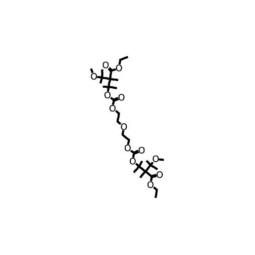 CCOC(=O)C(C)(C(C)(C)OC)C(C)(C)OC(=O)OCCOCCOC(=O)OC(C)(C)C(C)(C(=O)OCC)C(C)(C)OC